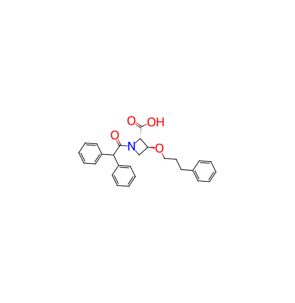 O=C(O)[C@@H]1[C@@H](OCCCc2ccccc2)CN1C(=O)C(c1ccccc1)c1ccccc1